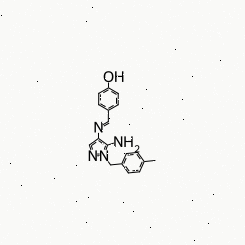 Cc1ccc(Cn2ncc(N=Cc3ccc(O)cc3)c2N)cc1